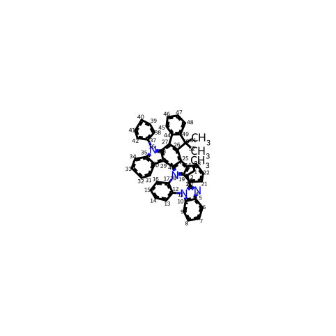 CCCc1nc2ccccc2n1-c1ccccc1-n1c2ccccc2c2c3c(c4c(c5ccccc5n4-c4ccccc4)c21)-c1ccccc1C3(C)C